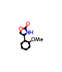 COc1ccccc1-c1coc(=O)[nH]1